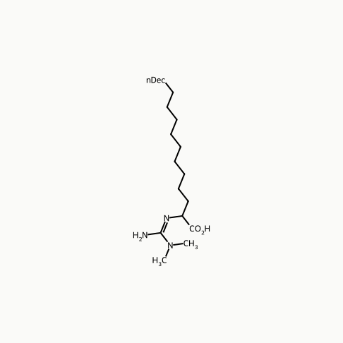 CCCCCCCCCCCCCCCCCCCC(N=C(N)N(C)C)C(=O)O